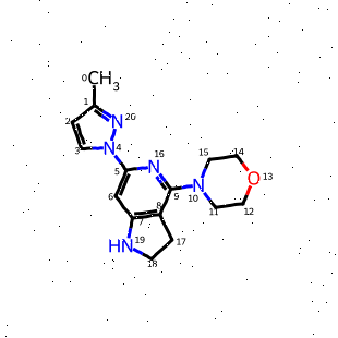 Cc1ccn(-c2cc3c(c(N4CCOCC4)n2)CCN3)n1